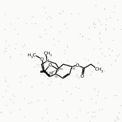 CCC(=O)O[C@H]1C=C[C@@]23CCN(C)Cc4ccc(OC)c(c42)O[C@H]3C1